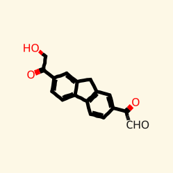 O=CC(=O)c1ccc2c(c1)Cc1cc(C(=O)CO)ccc1-2